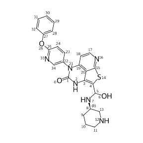 O=C1Nc2c(C(O)N[C@@H]3CCCNC3)sc3nccc(c23)N1c1ccc(Oc2ccccc2)nc1